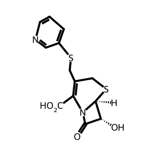 O=C(O)C1=C(CSc2cccnc2)CS[C@H]2[C@H](O)C(=O)N12